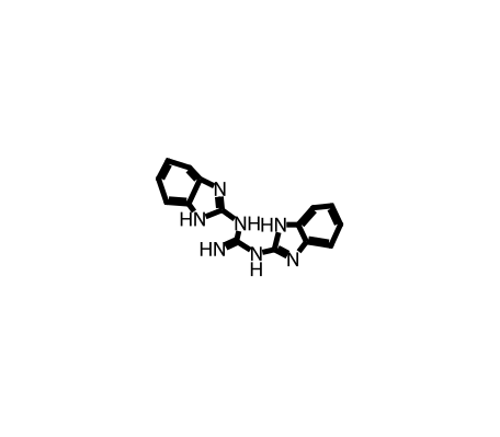 N=C(Nc1nc2ccccc2[nH]1)Nc1nc2ccccc2[nH]1